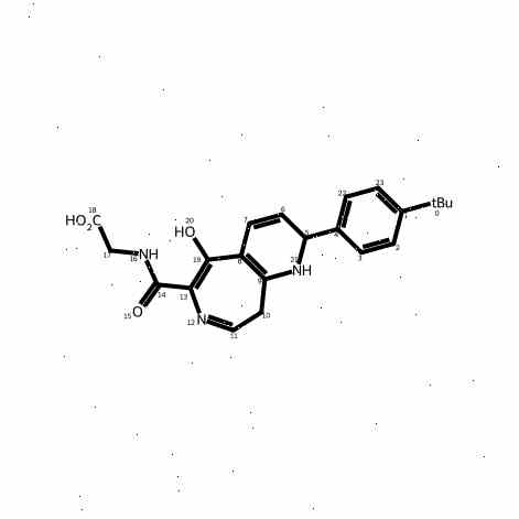 CC(C)(C)c1ccc(C2C=CC3=C(CC=NC(C(=O)NCC(=O)O)=C3O)N2)cc1